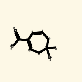 CC1(Br)CC=CC(C(=O)Cl)=CC1